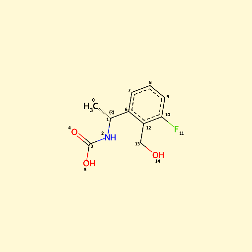 C[C@@H](NC(=O)O)c1cccc(F)c1CO